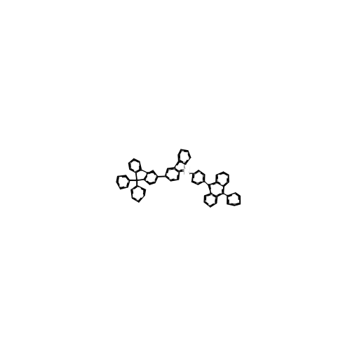 c1ccc(-c2c3ccccc3c(-c3ccc(-n4c5ccccc5c5cc(-c6ccc7c(c6)-c6ccccc6C7(c6ccccc6)c6ccccc6)ccc54)cc3)c3ccccc23)cc1